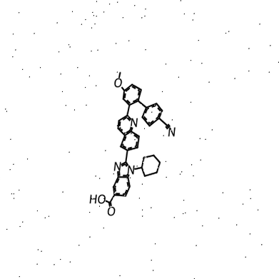 COc1ccc(-c2ccc(C#N)cc2)c(-c2ccc3cc(-c4nc5cc(C(=O)O)ccc5n4C4CCCCC4)ccc3n2)c1